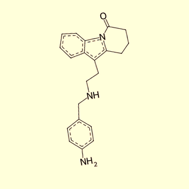 Nc1ccc(CNCCc2c3n(c4ccccc24)C(=O)CCC3)cc1